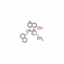 CCC1CN2CCC1CC2[C@@H](OCc1cccc2ccccc12)c1ccnc2ccc(O)cc12